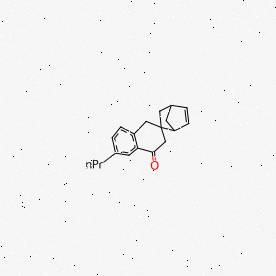 CCCc1ccc2c(c1)C(=O)CC1(C2)CC2C=CC1C2